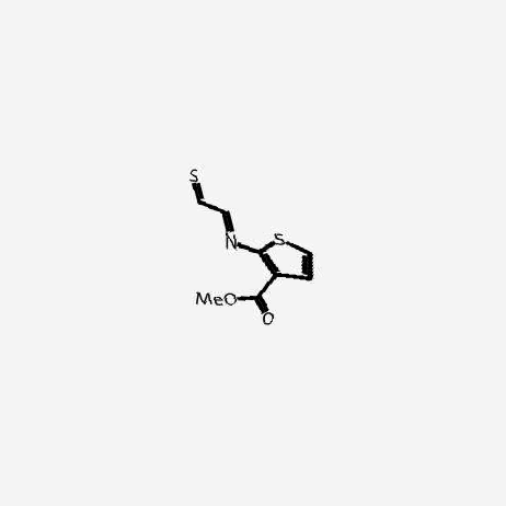 COC(=O)c1ccsc1N=CC=S